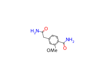 COc1cc(CC(N)=O)ccc1C(N)=O